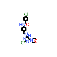 O=C(Nc1ccc(Cn2nnc3c(N4CCOCC4)nc(Cl)nc32)cc1)c1ccc(Cl)cc1